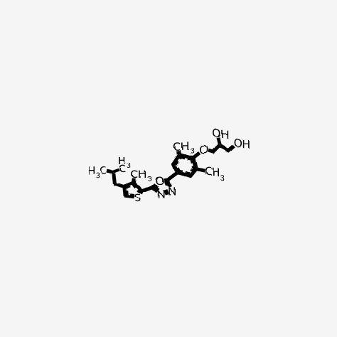 Cc1cc(-c2nnc(-c3scc(CC(C)C)c3C)o2)cc(C)c1OCC(O)CO